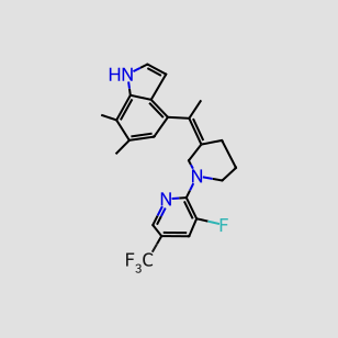 C/C(=C1\CCCN(c2ncc(C(F)(F)F)cc2F)C1)c1cc(C)c(C)c2[nH]ccc12